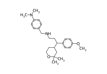 COc1ccc(C(CCNCc2ccc(N(C)C)cc2)C2CCOC(C)(C)C2)cc1